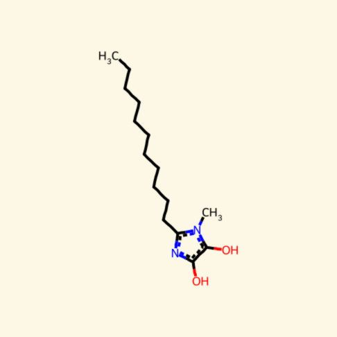 CCCCCCCCCCCc1nc(O)c(O)n1C